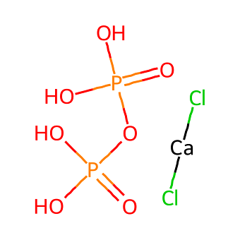 O=P(O)(O)OP(=O)(O)O.[Cl][Ca][Cl]